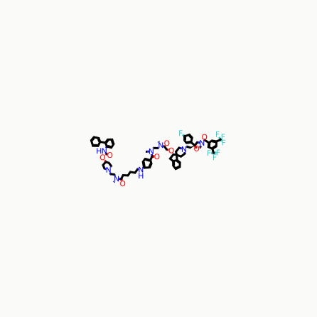 CN(CCN1CCC(OC(=O)Nc2ccccc2-c2ccccc2)CC1)C(=O)CCCCCNc1ccc(C(=O)N(C)CCN(C)C(=O)CO[C@H]2Cc3ccccc3C23CCN(CC[C@@]2(c4ccc(F)cc4)CN(C(=O)c4cc(C(F)(F)F)cc(C(F)(F)F)c4)CO2)CC3)cc1